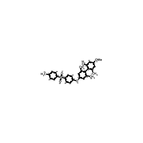 COc1cc(C)c(-c2c(C)cc(Oc3ccc(S(=O)(=O)c4ccc(C)cc4)cc3)cc2C)c(C)c1